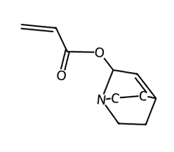 C=CC(=O)OC1C=C2CCN1CC2